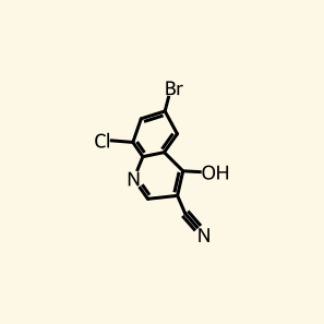 N#Cc1cnc2c(Cl)cc(Br)cc2c1O